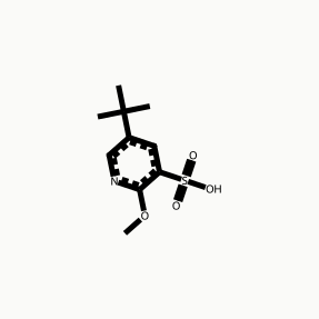 COc1ncc(C(C)(C)C)cc1S(=O)(=O)O